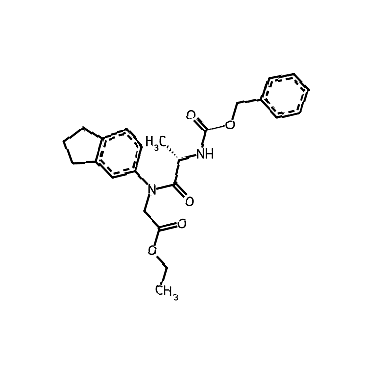 CCOC(=O)CN(C(=O)[C@H](C)NC(=O)OCc1ccccc1)c1ccc2c(c1)CCC2